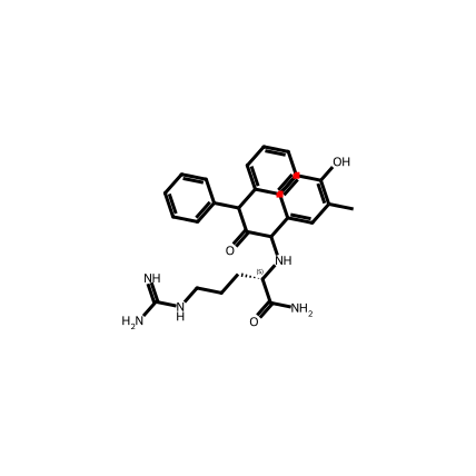 Cc1cc(C(N[C@@H](CCCNC(=N)N)C(N)=O)C(=O)C(c2ccccc2)c2ccccc2)ccc1O